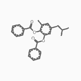 Cc1cc(CC(C)C)cc(OC(=O)c2ccccc2)c1OC(=O)c1ccccc1